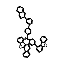 c1cc(-c2ccc(N(c3ccc(-c4cccc5oc6ccccc6c45)cc3)c3cccc4oc5c6ccccc6ccc5c34)cc2)cc(-c2ccc3ccccc3c2)c1